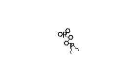 CCCCP(CCCC)Cc1ccccc1-c1ccccc1CP(c1ccccc1)c1ccccc1